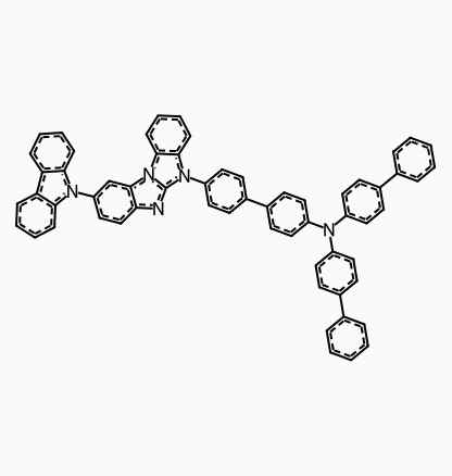 c1ccc(-c2ccc(N(c3ccc(-c4ccccc4)cc3)c3ccc(-c4ccc(-n5c6ccccc6n6c7cc(-n8c9ccccc9c9ccccc98)ccc7nc56)cc4)cc3)cc2)cc1